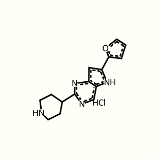 Cl.c1coc(-c2cc3nc(C4CCNCC4)ncc3[nH]2)c1